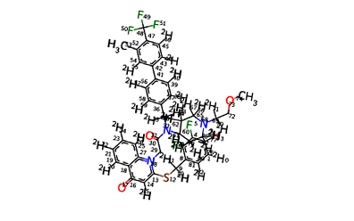 [2H]c1c([2H])c(F)c(F)c(C([2H])([2H])Sc2c([2H])c(=O)c3c([2H])c([2H])c([2H])c([2H])c3n2CC(=O)N(C([2H])([2H])c2c([2H])c([2H])c(-c3c([2H])c([2H])c(C(F)(F)F)c(C)c3[2H])c([2H])c2[2H])C2([2H])C([2H])([2H])C([2H])([2H])N(C([2H])([2H])COC)C([2H])([2H])C2([2H])[2H])c1[2H]